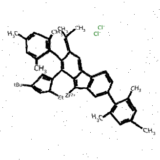 CCC1C=C(C(C)(C)C)C=C1c1c(-c2c(C)cc(C)cc2C)c(=C(C)C)cc2c1=[C]([Zr+2])c1cc(-c3c(C)cc(C)cc3C)ccc1-2.[Cl-].[Cl-]